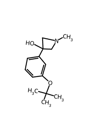 CN1CC(O)(c2cccc(OC(C)(C)C)c2)C1